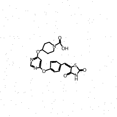 O=C1NC(=O)/C(=C\c2ccc(Oc3cc(OC4CCN(C(=O)O)CC4)ncn3)cc2)S1